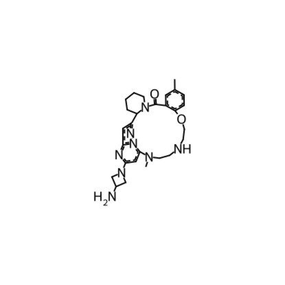 Cc1ccc2c(c1)C(=O)N1CCCCC1c1cc3nc(N4CC(N)C4)cc(n3n1)N(C)CCNCCO2